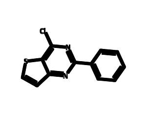 Clc1nc(-c2ccccc2)nc2ccsc12